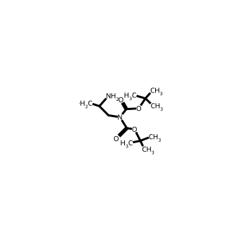 [CH2]C(N)CN(C(=O)OC(C)(C)C)C(=O)OC(C)(C)C